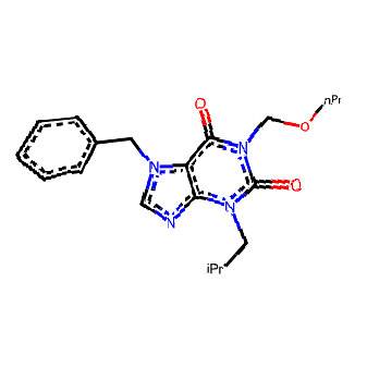 CCCOCn1c(=O)c2c(ncn2Cc2ccccc2)n(CC(C)C)c1=O